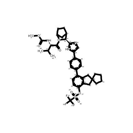 COC(=O)N[C@H](C(=O)N1C2CCC(C2)[C@H]1c1ncc(-c2ccc(-c3ccc(OS(=O)(=O)C(F)(F)F)c4c3CC3(CCCC3)C4)cc2)[nH]1)C(C)C